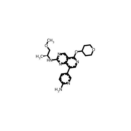 COC[C@H](C)Nc1ncc2c(OC3CCOCC3)ncc(-c3ccc(N)nc3)c2n1